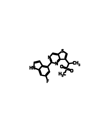 CC(c1csc2cnc(-c3cc(F)cc4[nH]ccc34)nc12)S(C)(=O)=O